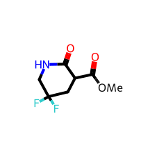 COC(=O)C1CC(F)(F)CNC1=O